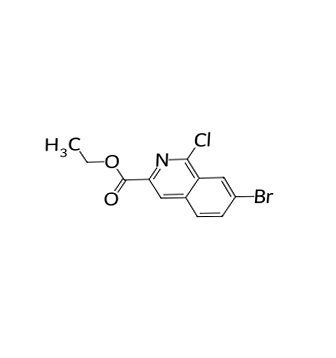 CCOC(=O)c1cc2ccc(Br)cc2c(Cl)n1